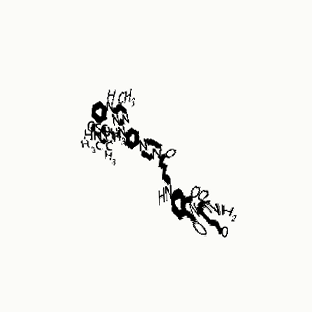 Cc1cnc(Nc2ccc(N3CCN(C(=O)CCCCNc4ccc5c(c4)C(=O)N(C(CCC=O)C(N)=O)C5=O)CC3)cc2)nc1Nc1cccc(S(=O)(=O)NC(C)(C)C)c1